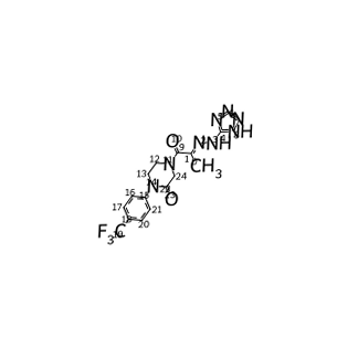 C/C(=N\Nc1nnn[nH]1)C(=O)N1CCN(c2ccc(C(F)(F)F)cc2)C(=O)C1